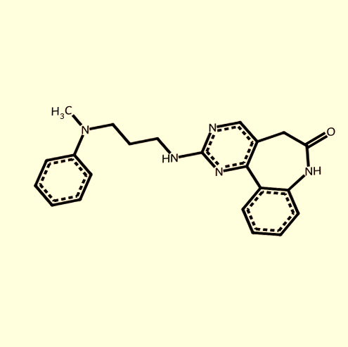 CN(CCCNc1ncc2c(n1)-c1ccccc1NC(=O)C2)c1ccccc1